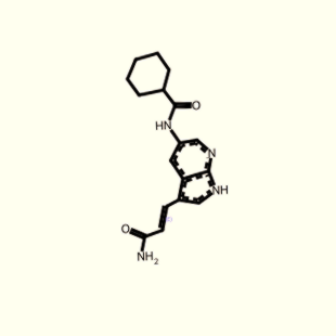 NC(=O)/C=C/c1c[nH]c2ncc(NC(=O)C3CCCCC3)cc12